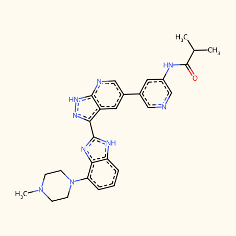 CC(C)C(=O)Nc1cncc(-c2cnc3[nH]nc(-c4nc5c(N6CCN(C)CC6)cccc5[nH]4)c3c2)c1